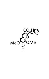 COc1cc(C=C(C(=O)O)C(=O)CCc2ccco2)cc(OC)c1O